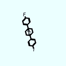 Fc1ccc(C23CCC(c4ccc(I)cc4)(CC2)CC3)cc1